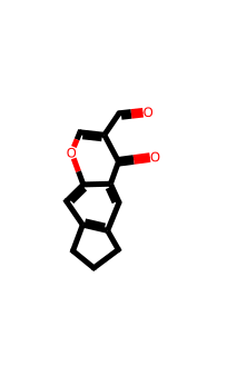 O=Cc1coc2cc3c(cc2c1=O)CCC3